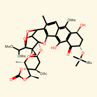 COc1c2c(c(O)c3c4c(c(C)cc13)C1OC3(C(OC)OC)OC1[C@@](O[C@H]1C[C@@H](OC(C)=O)[C@]5(OC(=O)O[C@@H]5C)[C@H](C)O1)(O4)[C@@]31CO1)C(=O)[C@@H](O[Si](C)(C)C(C)(C)C)C[C@@H]2O